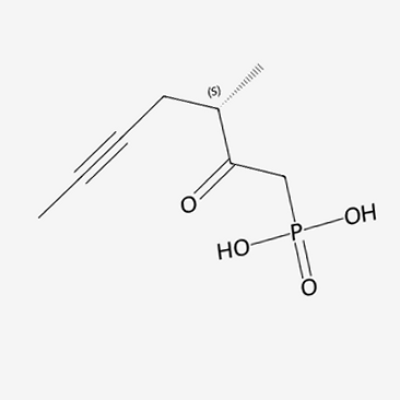 CC#CC[C@H](C)C(=O)CP(=O)(O)O